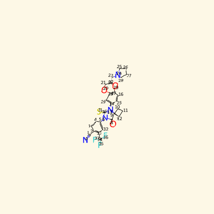 N#Cc1ccc(N2C(=O)C3(CCC3)N(c3ccc4c(c3)OC[C@H](CN3CCCC3)O4)C2=S)cc1C(F)(F)F